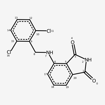 O=C1NC(=O)c2c(NCc3c(Cl)cccc3Cl)cccc21